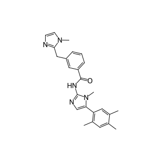 Cc1cc(C)c(-c2cnc(NC(=O)c3cccc(Cc4nccn4C)c3)n2C)cc1C